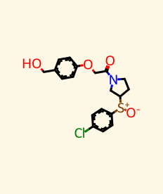 O=C(COc1ccc(CO)cc1)N1CCC([S+]([O-])c2ccc(Cl)cc2)C1